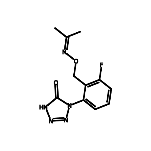 CC(C)=NOCc1c(F)cccc1-n1nn[nH]c1=O